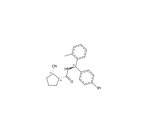 Cc1ccccc1[C@H](NC(=O)[C@@H]1CCC[C@@H]1C#N)c1ccc(C(C)C)cc1